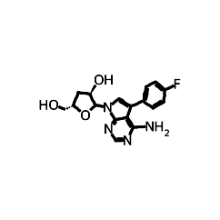 Nc1ncnc2c1c(-c1ccc(F)cc1)cn2C1O[C@H](CO)C[C@H]1O